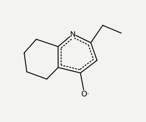 CCc1cc([O])c2c(n1)CCCC2